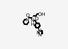 O=C(N[C@@H](CCCO)C(=O)N1CCCCC1)c1ccc(-n2ccnn2)cc1